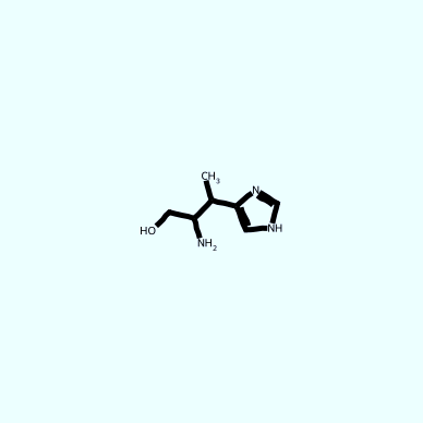 CC(c1c[nH]cn1)C(N)CO